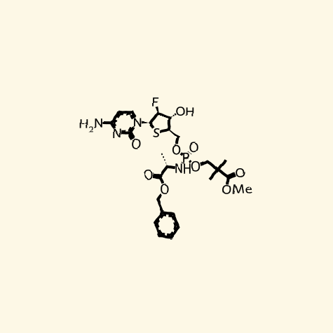 COC(=O)C(C)(C)COP(=O)(N[C@@H](C)C(=O)OCc1ccccc1)OC[C@H]1S[C@@H](n2ccc(N)nc2=O)[C@@H](F)[C@@H]1O